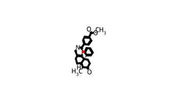 COC(=O)c1ccc(-c2ncc3c(n2)[C@@]2(c4ccccc4)CCC(=O)[C@@H](C)[C@@H]2CC3)cc1